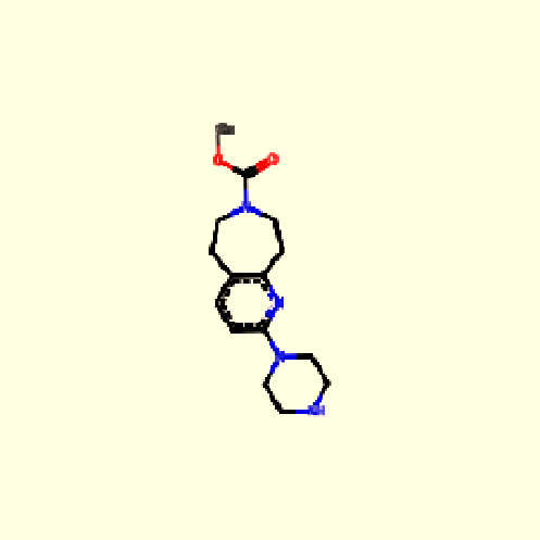 CC(C)(C)OC(=O)N1CCc2ccc(N3CCNCC3)nc2CC1